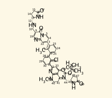 Cc1c(-c2ccn3c(=O)c(CNC[C@@H]4CCC(=O)N4)cnc3c2)cccc1-c1cccc(-c2ccc3c(n2)N(C)CCC3N(C[C@@H]2CCC(=O)N2)C(=O)OC(C)(C)C)c1Cl